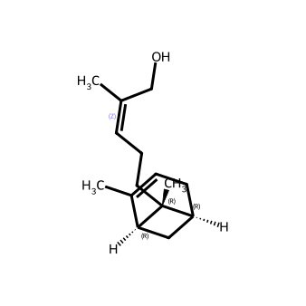 CC1=CC[C@H]2C[C@@H]1[C@]2(C)CC/C=C(/C)CO